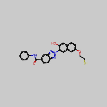 O=C(Nc1ccccc1)c1ccc2nn(-c3cc4cc(OCCS)ccc4cc3O)nc2c1